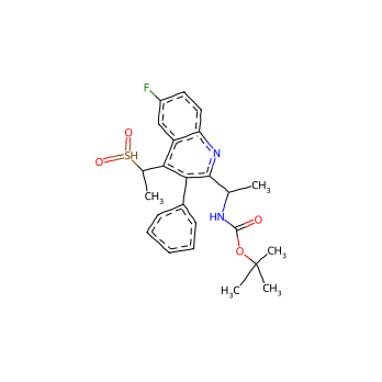 CC(NC(=O)OC(C)(C)C)c1nc2ccc(F)cc2c(C(C)[SH](=O)=O)c1-c1ccccc1